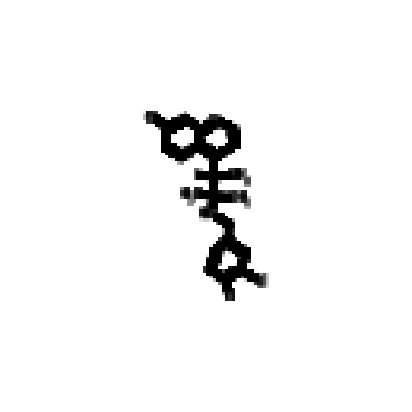 CC(C)(NCc1ccc(Cl)c(Cl)c1)C(N)(I)c1ccnc2cc(Cl)ccc12